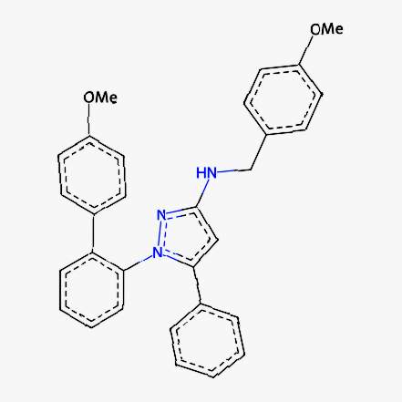 COc1ccc(CNc2cc(-c3ccccc3)n(-c3ccccc3-c3ccc(OC)cc3)n2)cc1